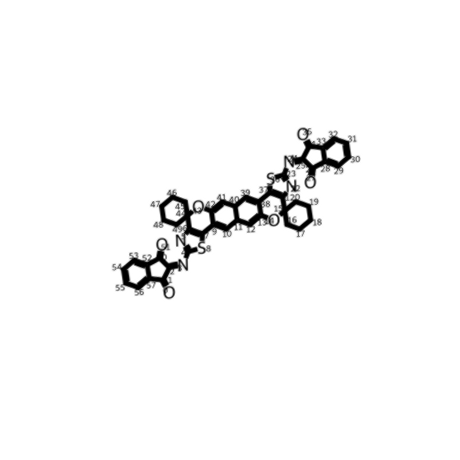 O=c1c(=Nc2nc3c(s2)C2=CC4C=C5OC6(CCCCC6)c6nc(N=c7c(=O)c8ccccc8c7=O)sc6C5=CC4C=C2OC32CCCCC2)c(=O)c2ccccc12